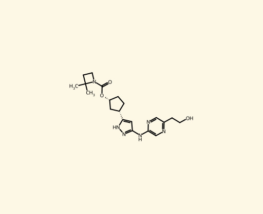 CC1(C)CCN1C(=O)O[C@@H]1CC[C@H](c2cc(Nc3cnc(CCO)cn3)n[nH]2)C1